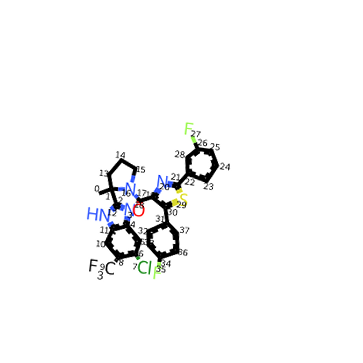 CC1(c2nc3cc(Cl)c(C(F)(F)F)cc3[nH]2)CCCN1C(=O)c1nc(-c2cccc(F)c2)sc1-c1ccc(F)cc1